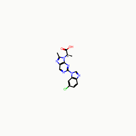 Cc1nc2cnc(-n3cnc4ccc(Cl)cc43)nc2n1[C@H](C)C(=O)O